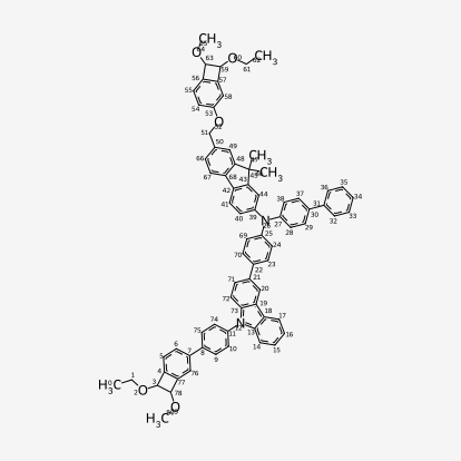 CCOC1c2ccc(-c3ccc(-n4c5ccccc5c5cc(-c6ccc(N(c7ccc(-c8ccccc8)cc7)c7ccc8c(c7)C(C)(C)c7cc(COc9ccc%10c(c9)C(OCC)C%10OC)ccc7-8)cc6)ccc54)cc3)cc2C1OC